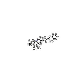 CCN1C(=O)C(C#N)=C(C)/C(=C/c2cc3oc(-c4ccc5ccccc5c4)cc3o2)C1=O